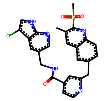 Cc1cc2cc(Cc3cc(C(=O)NCc4cnc5[nH]cc(Cl)c5c4)ccn3)ccc2nc1S(C)(=O)=O